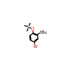 CC(C)(C)c1cc(Br)ccc1O[Si](C)(C)C